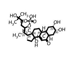 C[C@H](C(CCC(C)(C)O)OP(=O)(O)O)[C@H]1CC[C@@]2(O)C3=CC(=O)[C@@H]4C[C@@H](O)[C@@H](O)C[C@]4(C)[C@H]3CC[C@]12C